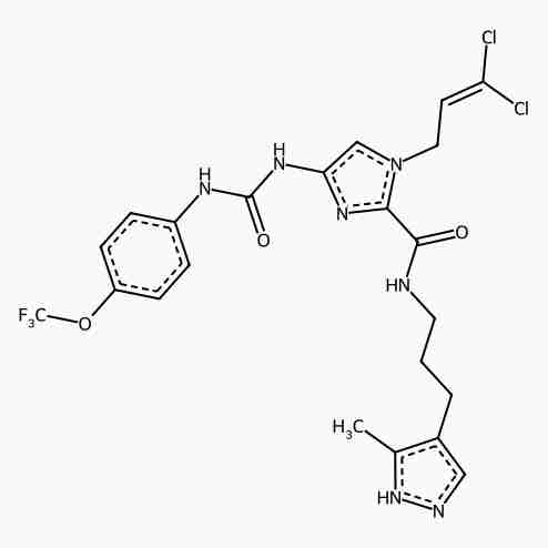 Cc1[nH]ncc1CCCNC(=O)c1nc(NC(=O)Nc2ccc(OC(F)(F)F)cc2)cn1CC=C(Cl)Cl